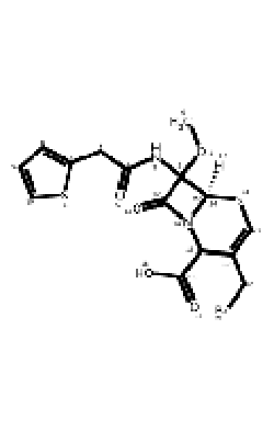 COC1(NC(=O)Cc2cccs2)C(=O)N2C(C(=O)O)C(CBr)=CS[C@@H]21